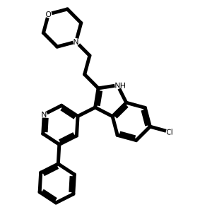 Clc1ccc2c(-c3cncc(-c4ccccc4)c3)c(CCN3CCOCC3)[nH]c2c1